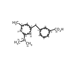 Cc1cc(Cc2cccc(C(=O)O)c2)nc(N(C)C)n1